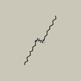 CCCCCCCCC/C=N\N=C/CCCCCCCCC